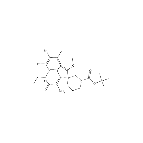 C=C(Cl)/C(N)=C(\c1cc(C)c(Br)c(F)c1CCC)C1(C(=O)OC)CCCN(C(=O)OC(C)(C)C)C1